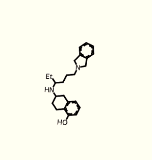 CCC(CCCN1Cc2ccccc2C1)NC1CCc2c(O)cccc2C1